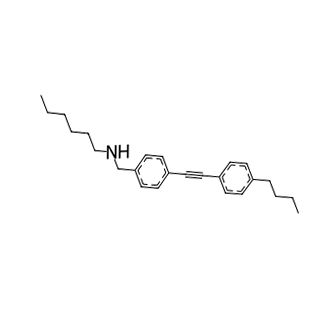 CCCCCCNCc1ccc(C#Cc2ccc(CCCC)cc2)cc1